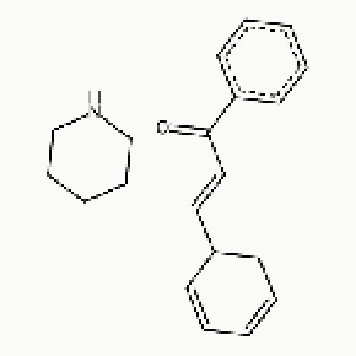 C1CCNCC1.O=C(C=CC1C=CC=CC1)c1ccccc1